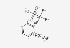 Cc1ccccc1.O=S(=O)(O)C(F)(F)F.[Ag]